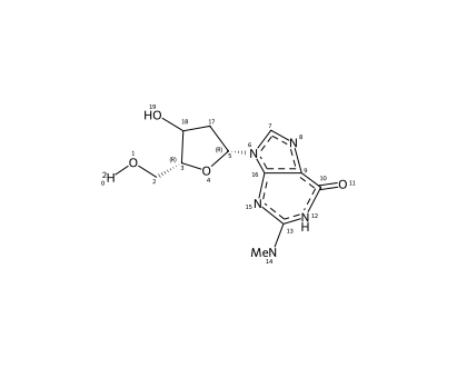 [2H]OC[C@H]1O[C@@H](n2cnc3c(=O)[nH]c(NC)nc32)CC1O